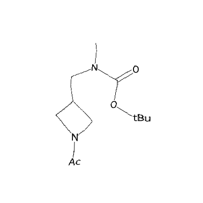 CC(=O)N1CC(CN(C)C(=O)OC(C)(C)C)C1